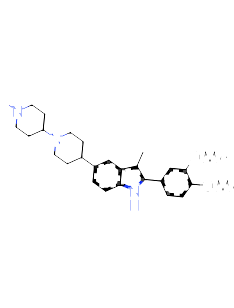 CCN1CCC(N2CCC(c3ccc4[nH]c(-c5ccc(OC)c(OC)c5)c(C)c4c3)CC2)CC1